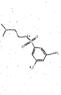 CN(C)CCNS(=O)(=O)c1cc(N)cc(C(F)(F)F)c1